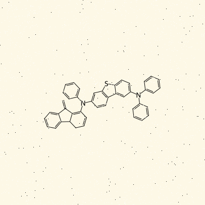 C=C1C2=C(N(c3ccccc3)c3ccc4c(c3)sc3ccc(N(c5ccccc5)c5ccccc5)cc34)C=CCC2c2ccccc21